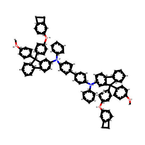 COc1ccc(C2(c3ccc(Oc4ccc5c(c4)CC5)cc3)c3ccccc3-c3ccc(N(c4ccccc4)c4ccc(-c5ccc(N(c6ccccc6)c6ccc7c(c6)C(c6ccc(OC)cc6)(c6ccc(Oc8ccc9c(c8)CC9)cc6)c6ccccc6-7)cc5)cc4)cc32)cc1